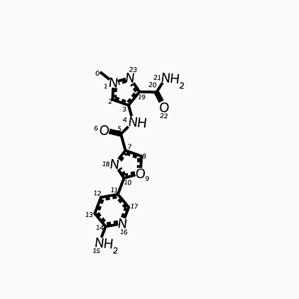 Cn1cc(NC(=O)c2coc(-c3ccc(N)nc3)n2)c(C(N)=O)n1